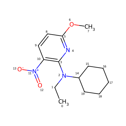 CCN(c1nc(OC)ccc1[N+](=O)[O-])C1CCCCC1